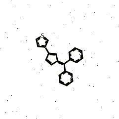 [C]1=C(c2ccsc2)C=CC1=C(c1ccccc1)c1ccccc1